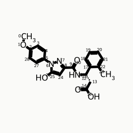 COc1ccc(-n2nc(C(=O)N[C@@H](CC(=O)O)c3ccccc3C)cc2O)cc1